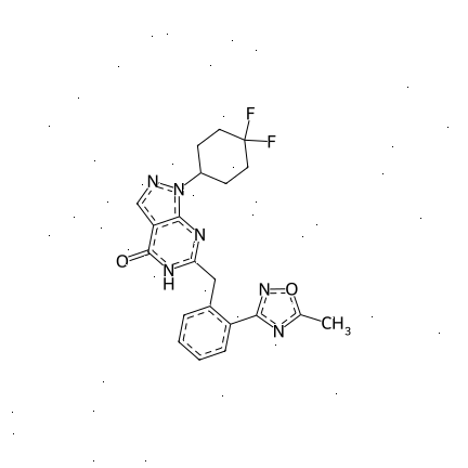 Cc1nc(-c2ccccc2Cc2nc3c(cnn3C3CCC(F)(F)CC3)c(=O)[nH]2)no1